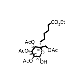 CCOC(=O)CCCCC[C@]1(COC(C)=O)O[C@H](O)[C@@H](OC(C)=O)[C@@H](OC(C)=O)[C@@H]1OC(C)=O